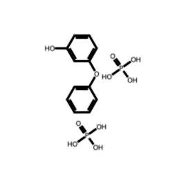 O=P(O)(O)O.O=P(O)(O)O.Oc1cccc(Oc2ccccc2)c1